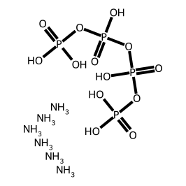 N.N.N.N.N.N.O=P(O)(O)OP(=O)(O)OP(=O)(O)OP(=O)(O)O